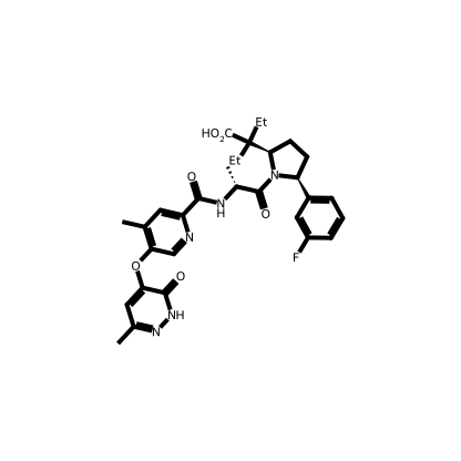 CCC(CC)(C(=O)O)[C@H]1CC[C@@H](c2cccc(F)c2)N1C(=O)[C@@H](C)NC(=O)c1cc(C)c(Oc2cc(C)n[nH]c2=O)cn1